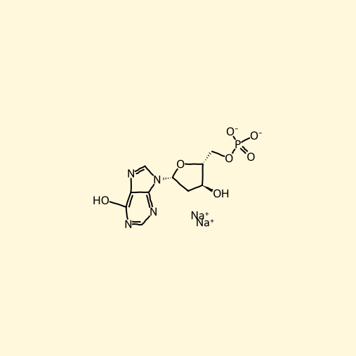 O=P([O-])([O-])OC[C@H]1O[C@@H](n2cnc3c(O)ncnc32)C[C@@H]1O.[Na+].[Na+]